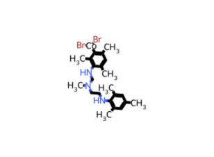 Cc1cc(C)c(NCCN(C)CNc2c(C)cc(C)[c]([Co]([Br])[Br])c2C)c(C)c1